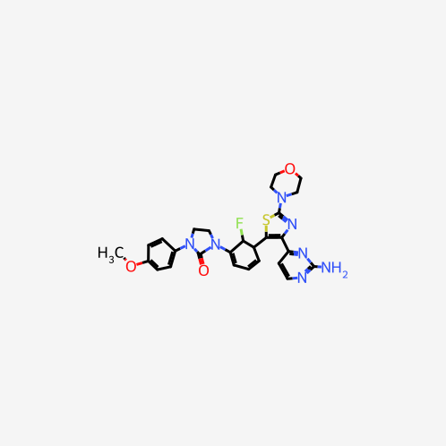 COc1ccc(N2CCN(C3=CC=CC(c4sc(N5CCOCC5)nc4-c4ccnc(N)n4)C3F)C2=O)cc1